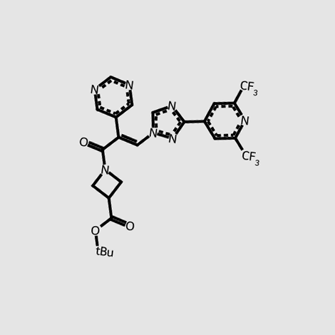 CC(C)(C)OC(=O)C1CN(C(=O)/C(=C/n2cnc(-c3cc(C(F)(F)F)nc(C(F)(F)F)c3)n2)c2cncnc2)C1